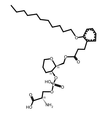 CCCCCCCCCCCOc1ccccc1CCC(=O)OC[C@@H]1OCCC[C@@H]1OP(=O)(O)OC[C@H](N)C(=O)O